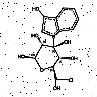 Oc1cn([C@@]2(O)[C@@H](O)[C@H](O)O[C@H](C(O)Cl)[C@@H]2O)c2ccccc12